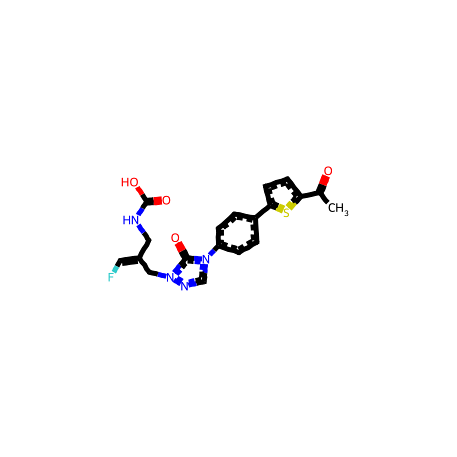 CC(=O)c1ccc(-c2ccc(-n3cnn(C/C(=C\F)CNC(=O)O)c3=O)cc2)s1